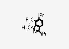 CC(C)c1ccc2c(C(C)C)nn(C)c2c1C(F)(F)F